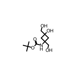 CC(C)(C)OC(=O)NC1(CO)CC(O)(CO)C1